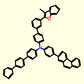 Cc1c(-c2cccc(-c3ccc(N(c4ccc(-c5ccc(-c6ccccc6)cc5)cc4)c4ccc(-c5ccc6c(ccc7ccccc76)c5)cc4)cc3)c2)oc2ccccc12